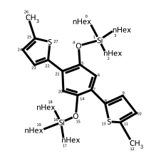 CCCCCC[Si](CCCCCC)(CCCCCC)Oc1cc(-c2ccc(C)s2)c(O[Si](CCCCCC)(CCCCCC)CCCCCC)cc1-c1ccc(C)s1